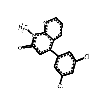 Cn1c(=O)cc(-c2cc(Cl)cc(Cl)c2)c2cccnc21